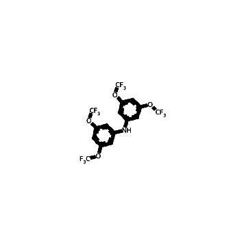 FC(F)(F)Oc1cc(Nc2cc(OC(F)(F)F)cc(OC(F)(F)F)c2)cc(OC(F)(F)F)c1